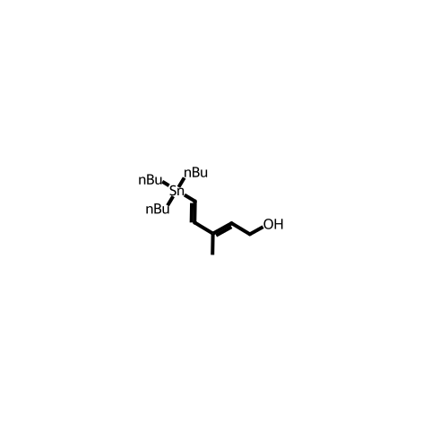 CCC[CH2][Sn]([CH]=CC(C)=CCO)([CH2]CCC)[CH2]CCC